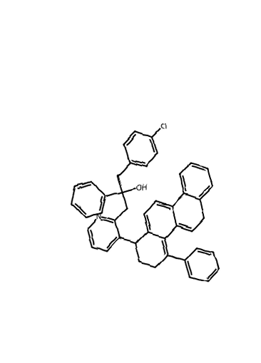 OC(Cc1ccc(Cl)cc1)(Cc1ncccc1C1CCC(c2ccccc2)=c2c1ccc1c2=CCc2ccccc2-1)c1ccccc1